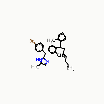 BCCC=CCC(c1ccccc1C)c1ccccc1C.Cc1cnc(Cc2ccc(Br)cc2)[nH]1